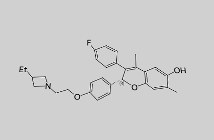 CCC1CN(CCOc2ccc([C@H]3Oc4cc(C)c(O)cc4C(C)=C3c3ccc(F)cc3)cc2)C1